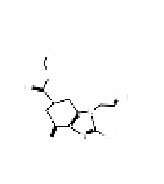 C=CCn1c(C)nc2c1CC(C(=O)OCC)CC2=O